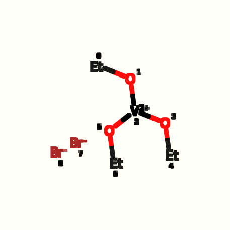 CC[O][V+2]([O]CC)[O]CC.[Br-].[Br-]